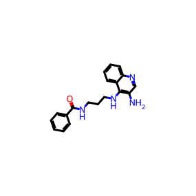 Nc1cnc2ccccc2c1NCCCNC(=O)c1ccccc1